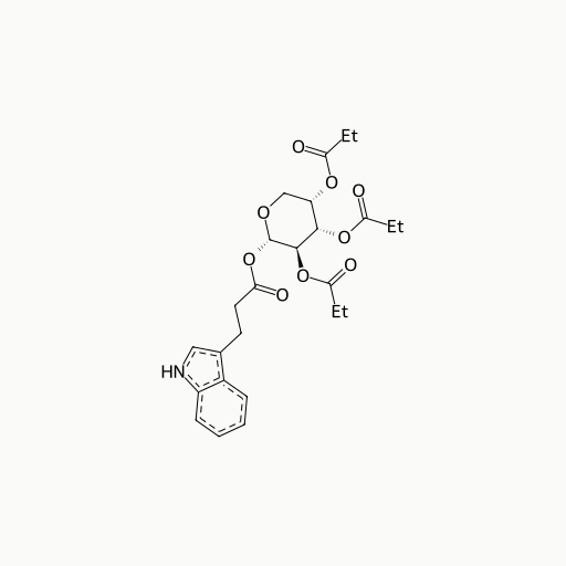 CCC(=O)O[C@@H]1[C@@H](OC(=O)CC)[C@H](OC(=O)CCc2c[nH]c3ccccc23)OC[C@@H]1OC(=O)CC